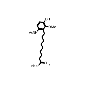 C=C(CCCCCCCCC)CCCCCCCCc1c(NC(C)=O)ccc(O)c1OC